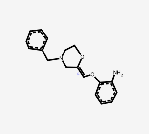 Nc1ccccc1O/C=C1/CN(Cc2ccccc2)CCO1